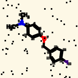 CN(C)c1ccc(OCc2ccc(I)cc2)cc1